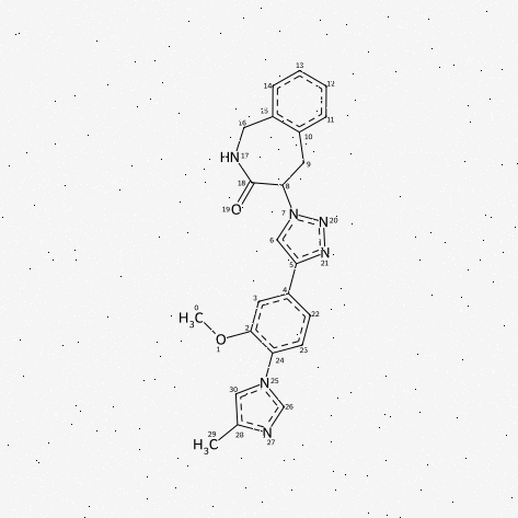 COc1cc(-c2cn(C3Cc4ccccc4CNC3=O)nn2)ccc1-n1cnc(C)c1